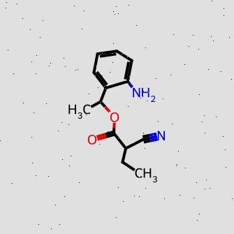 CCC(C#N)C(=O)OC(C)c1ccccc1N